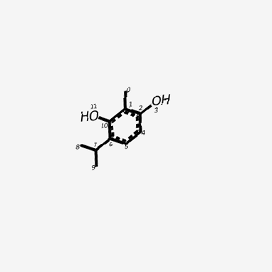 Cc1c(O)ccc(C(C)C)c1O